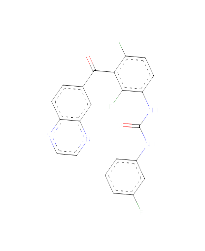 O=C(Nc1cccc(F)c1)Nc1ccc(F)c(C(=O)c2ccc3nccnc3c2)c1F